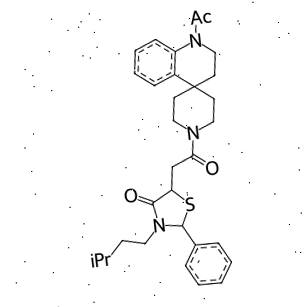 CC(=O)N1CCC2(CCN(C(=O)CC3SC(c4ccccc4)N(CCC(C)C)C3=O)CC2)c2ccccc21